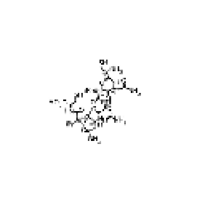 CC[C@H](C)[C@H](NC(=O)[C@H](CC(N)=O)NC(=O)[C@@H](N)CS)C(=O)N[C@@H](CC(N)=O)C(=O)N[C@@H](CC(N)=O)C(=O)N[C@H](C(=O)N[C@@H](CS)C(=O)O)C(C)C